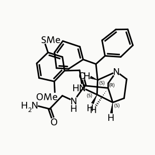 COc1ccc(SC)cc1CN[C@H]1[C@H]2CCN(C[C@@H]2C(=O)NCC(N)=O)[C@H]1C(c1ccccc1)c1ccccc1